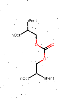 CCCCCCCCC(CCCCC)COC(=O)OCC(CCCCC)CCCCCCCC